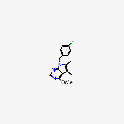 COc1ncnc2c1c(C)c(C)n2Cc1ccc(F)cc1